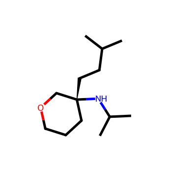 CC(C)CC[C@@]1(NC(C)C)CCCOC1